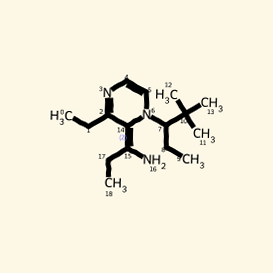 CCC1=NC=CN(C(CC)C(C)(C)C)/C1=C(\N)CC